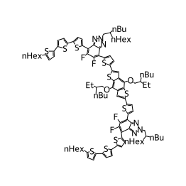 CCCCCCc1ccc(-c2ccc(-c3ccc(-c4c(F)c(F)c(-c5ccc(-c6cc7c(OCC(CC)CCCC)c8sc(-c9ccc(-c%10c(F)c(F)c(-c%11ccc(-c%12ccc(-c%13ccc(CCCCCC)s%13)s%12)s%11)c%11nn(CC(CCCC)CCCCCC)nc%10%11)s9)cc8c(OCC(CC)CCCC)c7s6)s5)c5nn(CC(CCCC)CCCCCC)nc45)s3)s2)s1